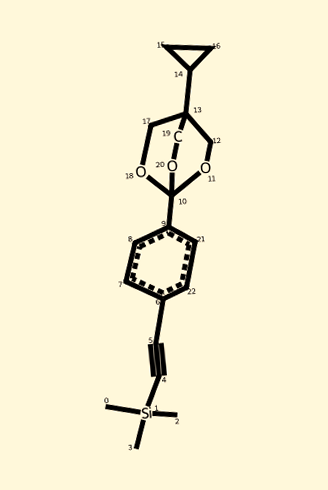 C[Si](C)(C)C#Cc1ccc(C23OCC(C4CC4)(CO2)CO3)cc1